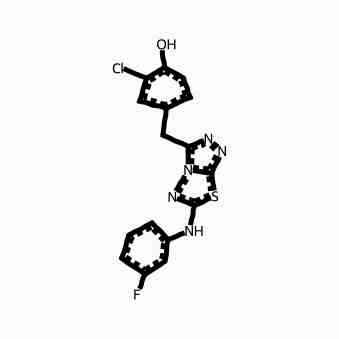 Oc1ccc(Cc2nnc3sc(Nc4cccc(F)c4)nn23)cc1Cl